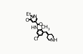 CCn1ncc(C(=O)Nc2cc(Cl)cc(C=C3CCNCC3)c2C)cc1=O